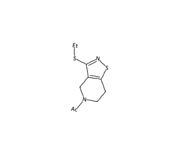 CCSc1nsc2c1CN(C(C)=O)CC2